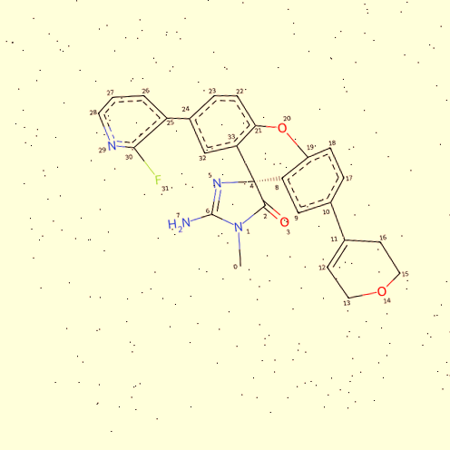 CN1C(=O)[C@]2(N=C1N)c1cc(C3=CCOCC3)ccc1Oc1ccc(-c3cccnc3F)cc12